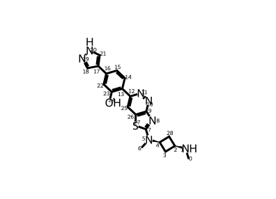 CN[C@H]1C[C@@H](N(C)c2nc3nnc(-c4ccc(-c5cn[nH]c5)cc4O)cc3s2)C1